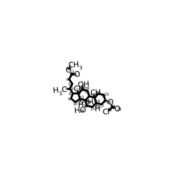 COC(=O)CCC(C)C1CC[C@H]2[C@H]3C(O)C[C@@H]4C[C@H](OC(=O)Cl)CCC4(C)C3CC(O)C12C